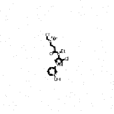 CCN(C(=O)CC[S+]([O-])CC(F)(F)F)c1cn(-c2ccc[n+](O)c2)nc1Cl